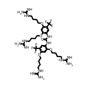 N=C(N)NCCCCOc1cc(OCCCCNC(=N)N)c(C(F)(F)F)cc1NC(=O)Nc1cc(C(F)(F)F)c(OCCCCNC(=N)N)cc1OCCCCNC(=N)N